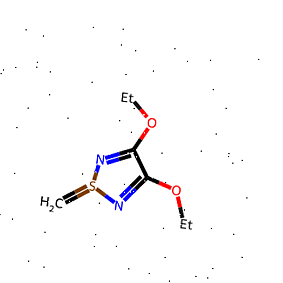 C=S1N=C(OCC)C(OCC)=N1